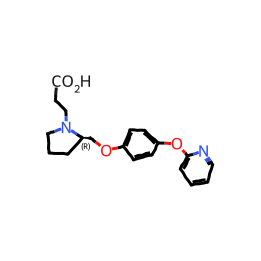 O=C(O)CCN1CCC[C@@H]1COc1ccc(Oc2ccccn2)cc1